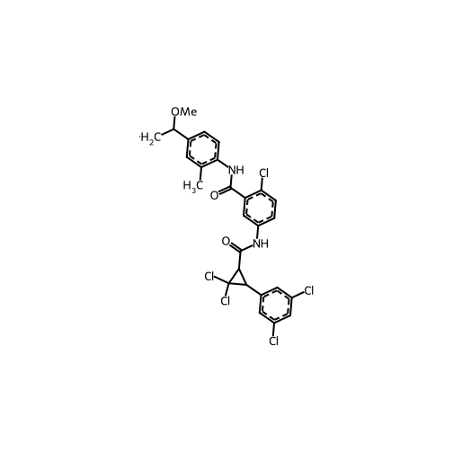 [CH2]C(OC)c1ccc(NC(=O)c2cc(NC(=O)C3C(c4cc(Cl)cc(Cl)c4)C3(Cl)Cl)ccc2Cl)c(C)c1